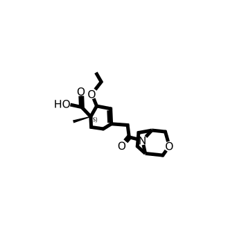 CCOC1C=C(CC(=O)N2C3CCC2COC3)CC[C@]1(C)C(=O)O